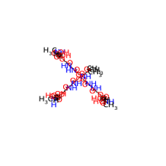 CC(=O)N[C@H]1[C@@H]2OC[C@](COCCCCC(=O)NCCCNC(=O)CCOCC(COCCC(=O)NCCCNC(=O)CCCCOC[C@@]34CO[C@H](O3)[C@H](NC(C)=O)[C@@H](O)[C@H]4O)(COCCC(=O)NCCCNC(=O)CCCCOC[C@@]34CO[C@H](O3)[C@H](NC(C)=O)[C@@H](O)[C@H]4O)NC(=O)CCCC(=O)C(C)(C)C)(O2)[C@H](O)[C@@H]1O